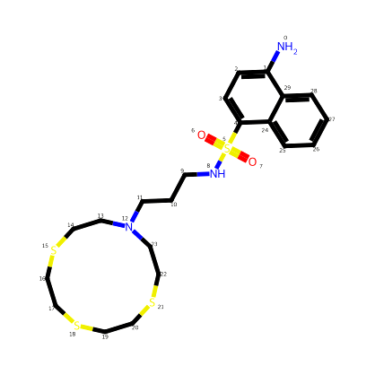 Nc1ccc(S(=O)(=O)NCCCN2CCSCCSCCSCC2)c2ccccc12